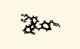 COc1ccc(Cn2c3nccc(N(C)C)c3c3nc[nH]c(=O)c32)cc1